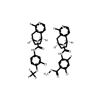 COC(=O)c1cc(NC(=O)N2[C@H]3CC[C@@H]2c2ccnc(F)c2C3)c(F)cc1Cl.O=C(Nc1ccc(OC(F)(F)F)c(Cl)c1)N1[C@H]2CC[C@@H]1c1ccnc(F)c1C2